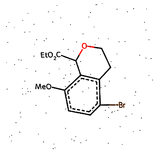 CCOC(=O)C1OCCc2c(Br)ccc(OC)c21